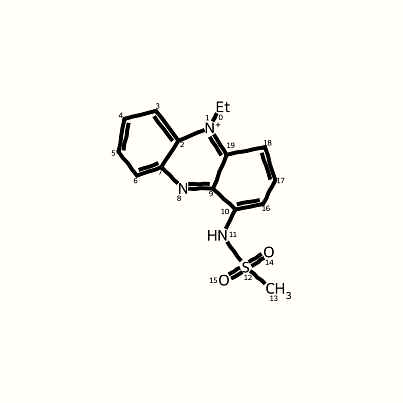 CC[n+]1c2ccccc2nc2c(NS(C)(=O)=O)cccc21